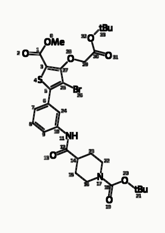 COC(=O)c1sc(-c2cccc(NC(=O)C3CCN(C(=O)OC(C)(C)C)CC3)c2)c(Br)c1OCC(=O)OC(C)(C)C